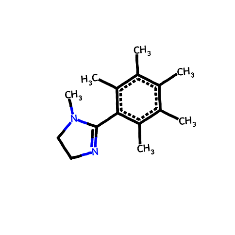 Cc1c(C)c(C)c(C2=NCCN2C)c(C)c1C